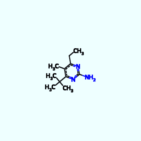 CCc1nc(N)nc(C(C)(C)C)c1C